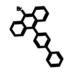 Brc1c2c(c(-c3ccc(-c4ccccc4)cc3)c3ccccc13)=CCCC=2